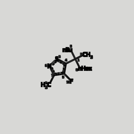 CCCCCCC(C)(CCCC)c1snc(C)c1F